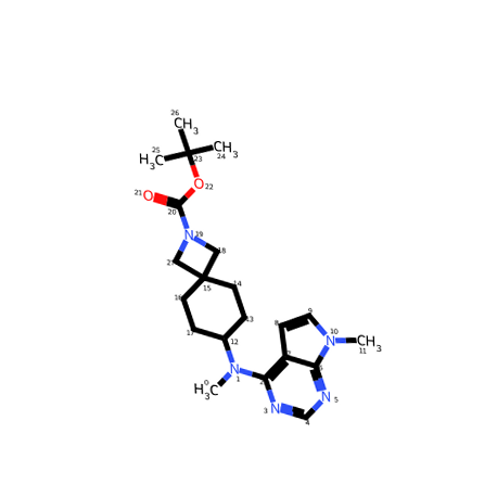 CN(c1ncnc2c1ccn2C)C1CCC2(CC1)CN(C(=O)OC(C)(C)C)C2